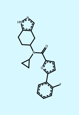 O=C(c1ccc(-c2ccccc2F)o1)N(C1CC1)C1CCc2[nH]ncc2C1